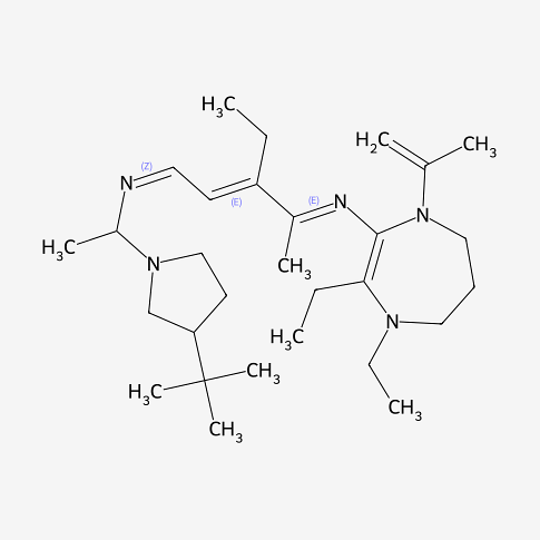 C=C(C)N1CCCN(CC)C(CC)=C1/N=C(C)/C(=C/C=N\C(C)N1CCC(C(C)(C)C)C1)CC